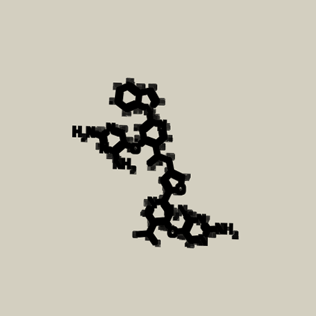 CC(C)c1cnc(-c2cc(CC(C)c3cnc(-n4ccc5ccccc54)cc3Oc3cnc(N)nc3N)co2)cc1Oc1cnc(N)nc1N